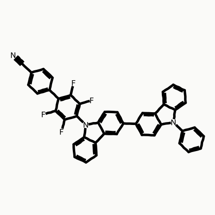 N#Cc1ccc(-c2c(F)c(F)c(-n3c4ccccc4c4cc(-c5ccc6c(c5)c5ccccc5n6-c5ccccc5)ccc43)c(F)c2F)cc1